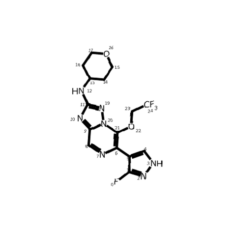 Fc1n[nH]cc1-c1ncc2nc(NC3CCOCC3)nn2c1OCC(F)(F)F